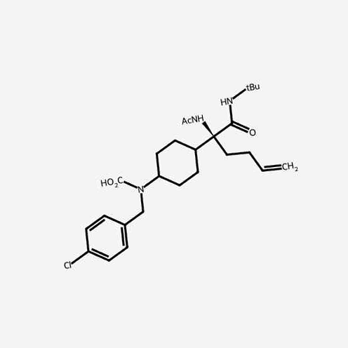 C=CCC[C@@](NC(C)=O)(C(=O)NC(C)(C)C)C1CCC(N(Cc2ccc(Cl)cc2)C(=O)O)CC1